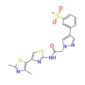 Cc1nc(C)c(-c2csc(NC(=O)Cn3cc(-c4cccc(S(C)(=O)=O)c4)cn3)n2)s1